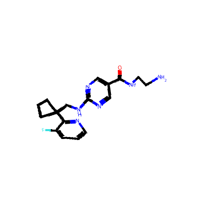 NCCNC(=O)c1cnc(NCC2(c3ncccc3F)CCC2)nc1